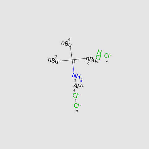 CCCCC(N)(CCCC)CCCC.Cl.[Al+3].[Cl-].[Cl-].[Cl-]